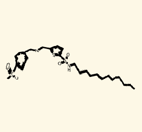 CCCCCCCCCCCCNS(=O)(=O)c1ccc(C[N]Cc2ccc(S(C)(=O)=O)cc2)s1